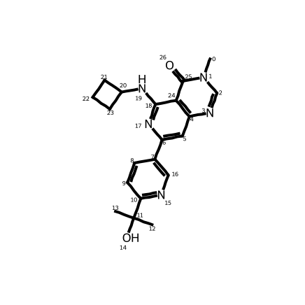 Cn1cnc2cc(-c3ccc(C(C)(C)O)nc3)nc(NC3CCC3)c2c1=O